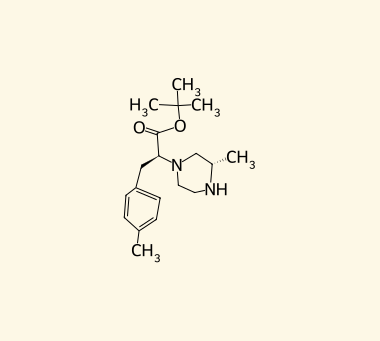 Cc1ccc(C[C@@H](C(=O)OC(C)(C)C)N2CCN[C@@H](C)C2)cc1